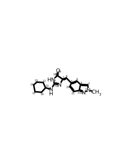 Cn1cc2cc(/C=C3\N=C(NC4CCCCC4)NC3=O)ccc2n1